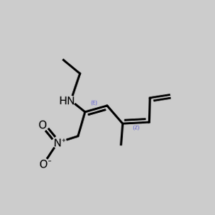 C=C/C=C(C)\C=C(/C[N+](=O)[O-])NCC